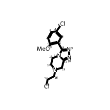 COc1ccc(Cl)cc1-c1nnc2n1CCN(CCCl)C2